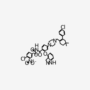 CC1(C)CCC(CN2CCN(c3ccc(C(=O)NS(=O)(=O)c4ccc(Cl)c([N+](=O)[O-])c4)c(Oc4cccc5[nH]ncc45)c3)CC2)=C(c2ccc(Cl)cc2)C1